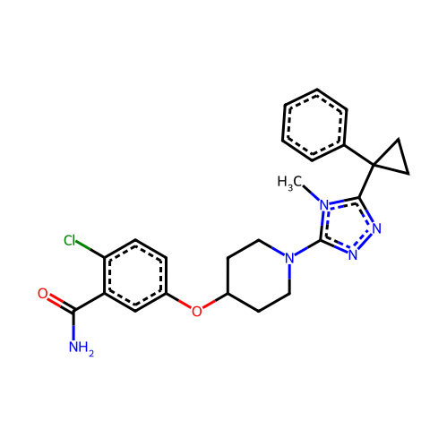 Cn1c(N2CCC(Oc3ccc(Cl)c(C(N)=O)c3)CC2)nnc1C1(c2ccccc2)CC1